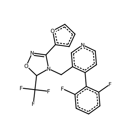 Fc1cccc(F)c1-c1ccncc1CN1C(c2ccco2)=NOC1C(F)(F)F